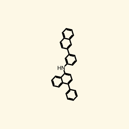 c1ccc(-c2ccc(Nc3cccc(-c4ccc5ccccc5c4)c3)c3ccccc23)cc1